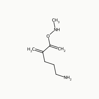 C=C(CCCN)C(=C)ONC